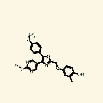 Cc1cc(OCc2nc(-c3cnc(OC(C)C)nc3)c(-c3ccc(OC(F)(F)F)cc3)o2)ccc1O